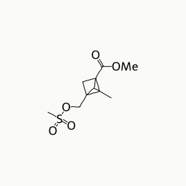 COC(=O)C12CC(COS(C)(=O)=O)(C1)C2C